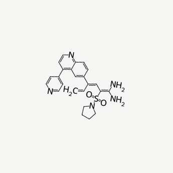 C=C/C(=C\C(=C(N)N)S(=O)(=O)N1CCCC1)c1ccc2nccc(-c3ccncc3)c2c1